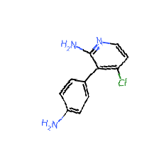 Nc1ccc(-c2c(Cl)ccnc2N)cc1